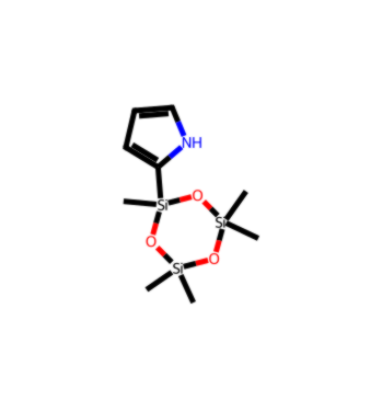 C[Si]1(C)O[Si](C)(C)O[Si](C)(c2ccc[nH]2)O1